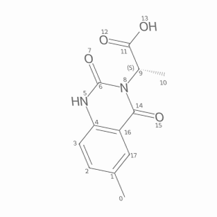 Cc1ccc2[nH]c(=O)n([C@@H](C)C(=O)O)c(=O)c2c1